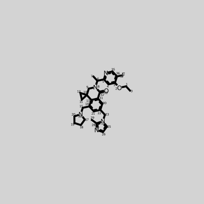 CCOc1cc(C(C)N2CC3(CC3)c3c(CN4CCCC4)cc(Cn4ccnc4C)cc3C2=O)ncc1F